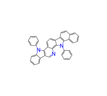 c1ccc(-n2c3ccccc3c3cnc4c(ccc5c6ccc7ccccc7c6n(-c6ccccc6)c54)c32)cc1